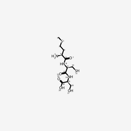 CSCC[C@H](N)C(=O)N[C@@H](CS)C(=O)N[C@@H](CO)C(=O)O